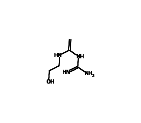 C=C(NCCO)NC(=N)N